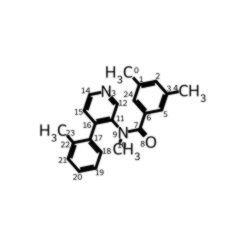 Cc1cc(C)cc(C(=O)N(C)c2cnccc2-c2ccccc2C)c1